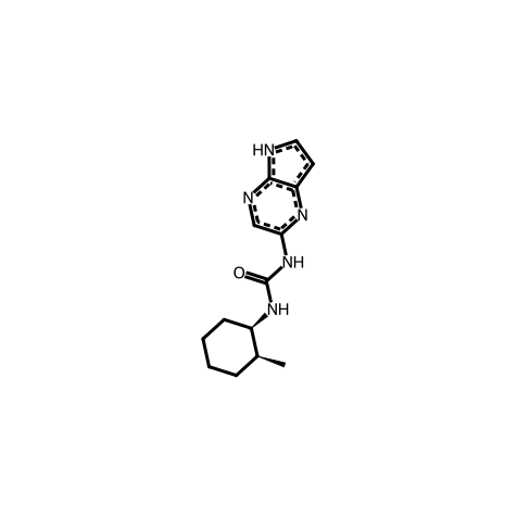 C[C@H]1CCCC[C@H]1NC(=O)Nc1cnc2[nH]ccc2n1